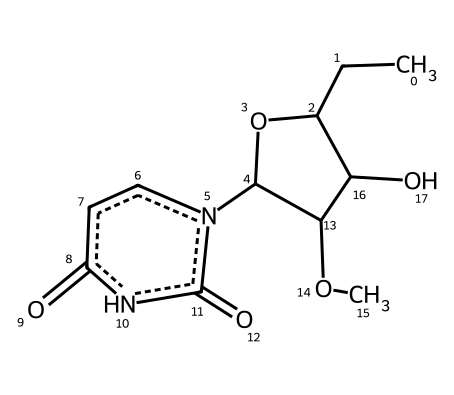 CCC1OC(n2ccc(=O)[nH]c2=O)C(OC)C1O